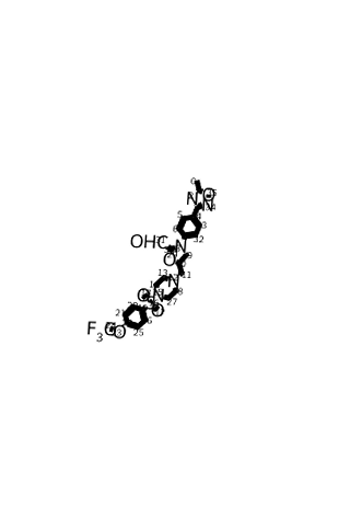 Cc1nc(-c2ccc(N3CC(CN4CCN(S(=O)(=O)c5ccc(OC(F)(F)F)cc5)CC4)OC3C=O)cc2)no1